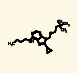 CCCCNc1ncnc2c1nc(C1CC1)n2COCCS(C)(C)C